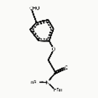 CCCCN(CCCC)C(=O)COc1ccc(C=O)cc1